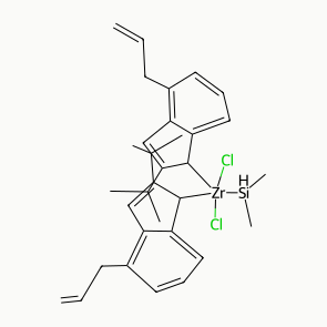 C=CCc1cccc2c1C=C(C(C)C)[CH]2[Zr]([Cl])([Cl])([CH]1C(C(C)C)=Cc2c(CC=C)cccc21)[SiH](C)C